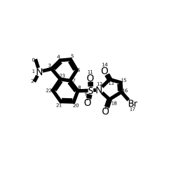 CN(C)c1cccc2c(S(=O)(=O)N3C(=O)C=C(Br)C3=O)cccc12